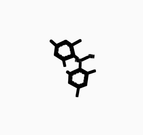 Cc1cc(C)c([SiH](O)c2c(C)cc(C)cc2C)c(C)c1